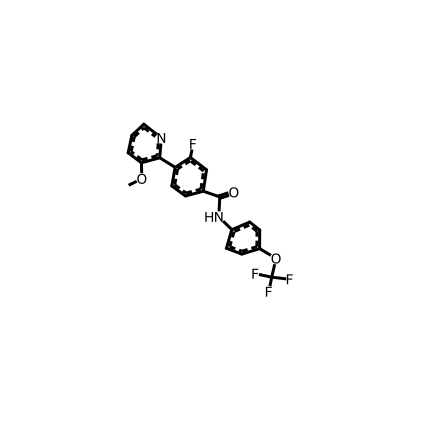 COc1cccnc1-c1ccc(C(=O)Nc2ccc(OC(F)(F)F)cc2)cc1F